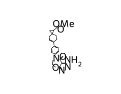 COC(=O)C1CC12CC=C(c1ccc(N3CCOc4ncnc(N)c4C3=O)cc1)CC2